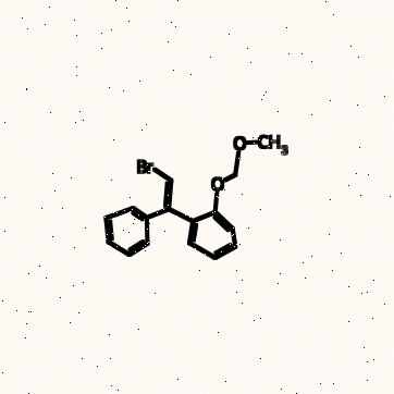 COCOc1ccccc1/C(=C/Br)c1ccccc1